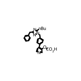 CCCCc1nc(Cc2ccccc2)nn1Cc1ccc(-c2ccncc2OC(=O)O)cc1